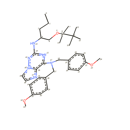 CCCC(CO[Si](C)(C)C(C)(C)C)Nc1nc(N(Cc2ccc(OC)cc2)Cc2ccc(OC)cc2)c2nccn2n1